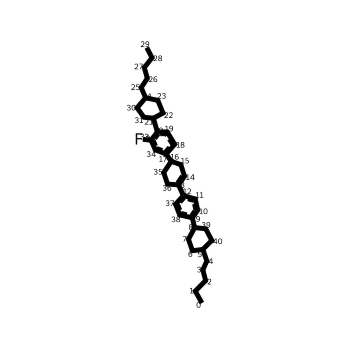 CCCCCC1CCC(c2ccc(C3=CCC(c4ccc(C5CCC(CCCCC)CC5)c(F)c4)CC3)cc2)CC1